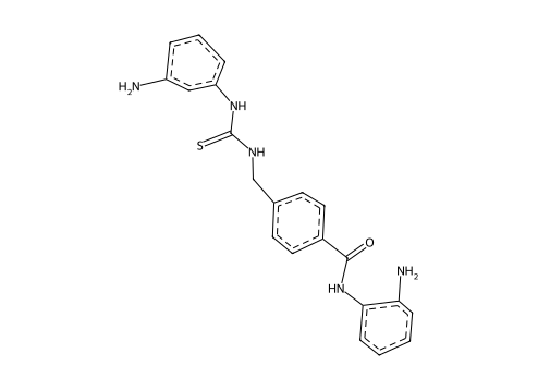 Nc1cccc(NC(=S)NCc2ccc(C(=O)Nc3ccccc3N)cc2)c1